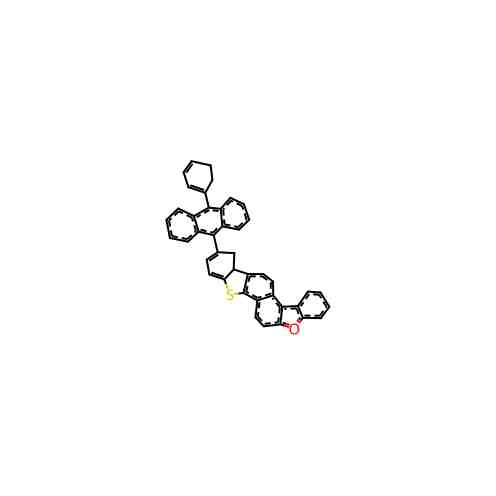 C1=CCCC(c2c3ccccc3c(C3=CC=C4Sc5c(ccc6c5ccc5oc7ccccc7c56)C4C3)c3ccccc23)=C1